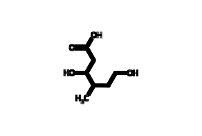 CC(CCO)C(O)CC(=O)O